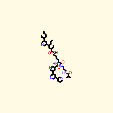 C=C/C=C\C(=C/C)c1cncc(C(/C=C/C)=C/C(=C\C)C(=O)BCCCCC(NC(=O)c2cncc(-c3cncc(-c4cccnc4)c3)c2)C(=O)NCCCNC(=O)C(=C)C)c1